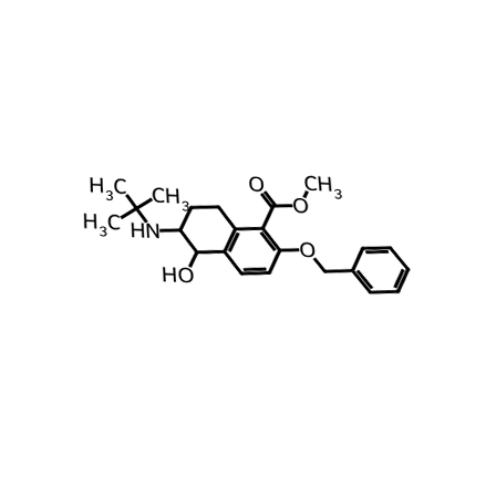 COC(=O)c1c(OCc2ccccc2)ccc2c1CCC(NC(C)(C)C)C2O